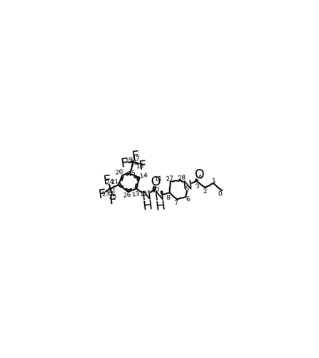 CCCC(=O)N1CCC(NC(=O)Nc2cc(C(F)(F)F)cc(C(F)(F)F)c2)CC1